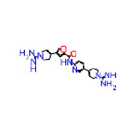 N=C(N)N1CC=C(c2ccc(NC(=O)c3cc(C4=CCN(C(=N)N)CC4)co3)nc2)CC1